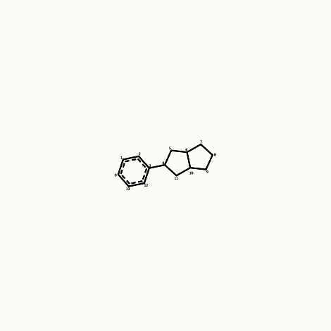 c1ccc([C]2CC3CCCC3C2)cc1